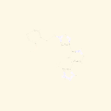 CCOc1ccccc1CCn1cnc(-c2cc(-c3nn[nH]c3S(C)(C)C)ccn2)c1